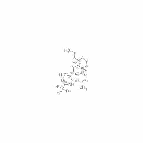 CCCN1CCC[C@@H]2c3ccc(C)c4c3c(c(C)n4NC(=O)C(F)(F)F)C[C@H]21